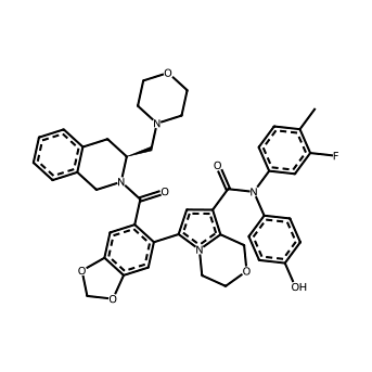 Cc1ccc(N(C(=O)c2cc(-c3cc4c(cc3C(=O)N3Cc5ccccc5C[C@H]3CN3CCOCC3)OCO4)n3c2COCC3)c2ccc(O)cc2)cc1F